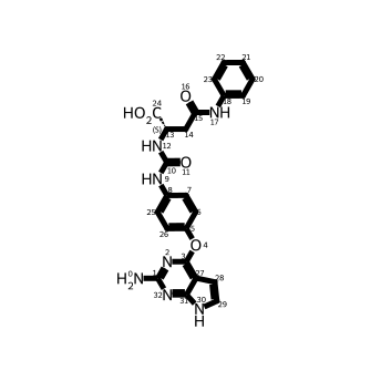 Nc1nc(Oc2ccc(NC(=O)N[C@@H](CC(=O)Nc3ccccc3)C(=O)O)cc2)c2cc[nH]c2n1